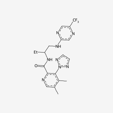 CCC(CNc1cnc(C(F)(F)F)cn1)NC(=O)c1ncc(C)c(C)c1-n1nccn1